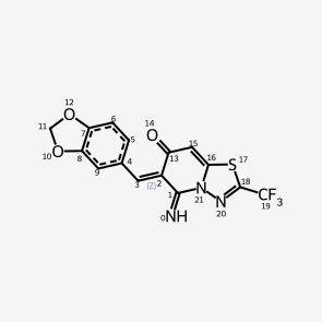 N=C1/C(=C/c2ccc3c(c2)OCO3)C(=O)C=C2SC(C(F)(F)F)=NN12